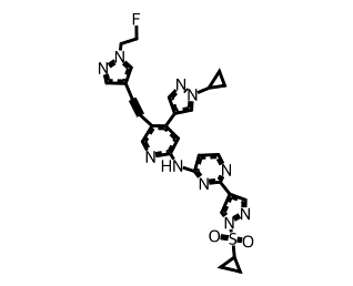 O=S(=O)(C1CC1)n1cc(-c2nccc(Nc3cc(-c4cnn(C5CC5)c4)c(C#Cc4cnn(CCF)c4)cn3)n2)cn1